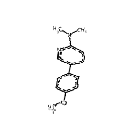 COc1ccc(-c2ccc(N(C)C)nc2)cc1